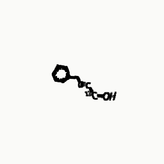 O[13CH2][13CH2]OCc1ccccc1